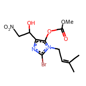 COC(=O)Oc1c(C(O)C[N+](=O)[O-])nc(Br)n1CC=C(C)C